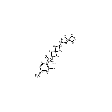 Cc1nc(C(F)(F)F)ccc1S(=O)(=O)N1CC2(CC(NCC3(C)COC3)C2)C1